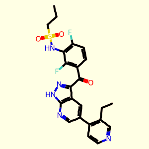 CCCS(=O)(=O)Nc1c(F)ccc(C(=O)c2n[nH]c3ncc(-c4ccncc4CC)cc23)c1F